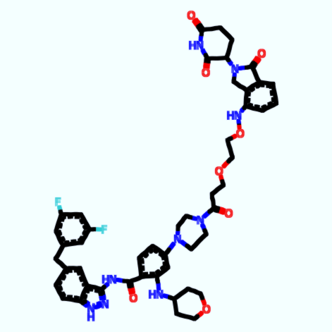 O=C1CCC(N2Cc3c(NOCCOCCC(=O)N4CCN(c5ccc(C(=O)Nc6n[nH]c7ccc(Cc8cc(F)cc(F)c8)cc67)c(NC6CCOCC6)c5)CC4)cccc3C2=O)C(=O)N1